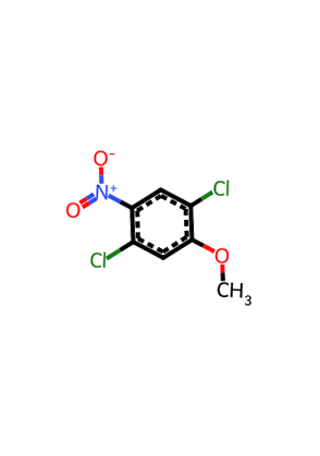 COc1cc(Cl)c([N+](=O)[O-])cc1Cl